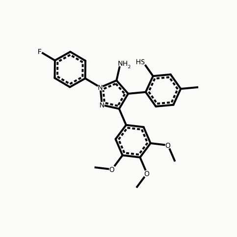 COc1cc(-c2nn(-c3ccc(F)cc3)c(N)c2-c2ccc(C)cc2S)cc(OC)c1OC